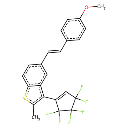 COc1ccc(C=Cc2ccc3sc(C)c(C4=CC(F)(F)C(F)(F)C4(F)F)c3c2)cc1